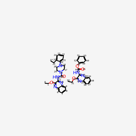 CCOc1nc2ccccc2nc1NC(=O)N1CCN(c2ccccc2CC)CC1.CCOc1nc2ccccc2nc1NC(=O)Oc1ccccc1